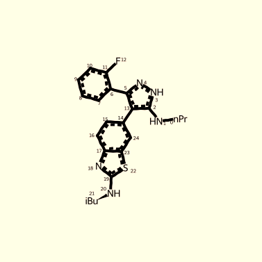 CCCNc1[nH]nc(-c2ccccc2F)c1-c1ccc2nc(N[C@H](C)CC)sc2c1